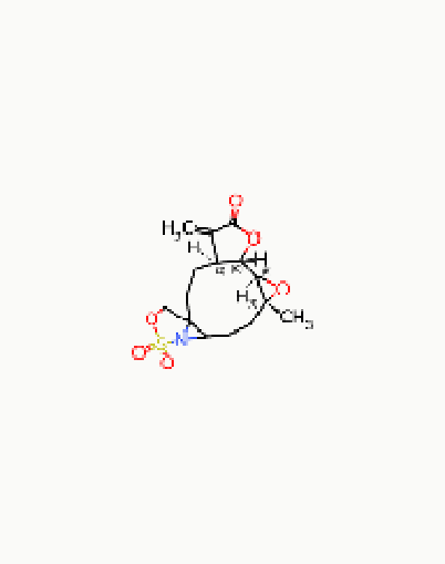 C=C1C(=O)O[C@@H]2[C@H]3O[C@]3(C)CCC3N4C3(CC[C@@H]12)COS4(=O)=O